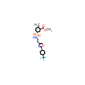 COC(=O)c1cc(S(=O)(=O)NCCc2coc(-c3ccc(C(F)(F)F)cc3)n2)ccc1C